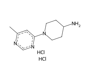 Cc1cc(N2CCC(N)CC2)ncn1.Cl.Cl